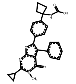 Cn1c(C2CC2)nc2oc(-c3ccc(C4(NC(=O)O)CCC4)cc3)c(-c3ccccc3)c2c1=O